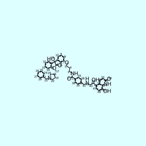 O=C(NCCCOc1cccc([C@](O)(C(=O)OC[C@@H]2CCN(Cc3ccccc3)C2)c2ccccc2)c1)c1ccc(CNC[C@H](O)c2ccc(O)c3[nH]c(=O)ccc23)cc1